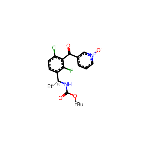 CC[C@@H](NC(=O)OC(C)(C)C)c1ccc(Cl)c(C(=O)c2ccc[n+]([O-])c2)c1F